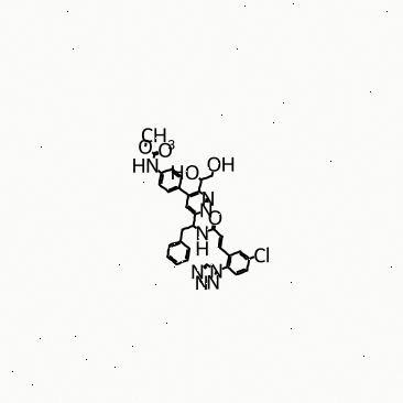 COC(=O)Nc1ccc(-c2cc(C(Cc3ccccc3)NC(=O)/C=C/c3cc(Cl)ccc3-n3cnnn3)nnc2C(O)CO)cc1